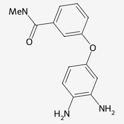 CNC(=O)c1cccc(Oc2ccc(N)c(N)c2)c1